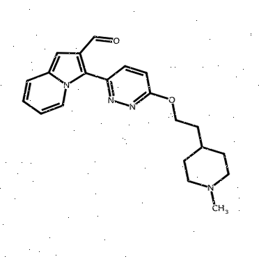 CN1CCC(CCOc2ccc(-c3c(C=O)cc4ccccn34)nn2)CC1